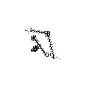 CCCCCCCCCCCCCCCCCCOS(=O)(=O)OCCCCCCCCCCCC.CCCCCCCCCCCCCCCCOS(=O)(=O)[O-].O=S(=O)([O-])[O-].[Na+].[Na+].[Na+]